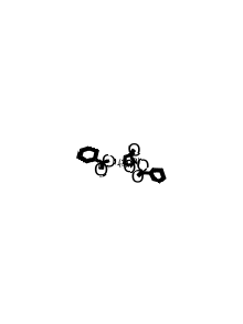 O=C(OC[C@@H]1CC(=O)[C@@H](OC(=O)c2ccccc2)O1)c1ccccc1